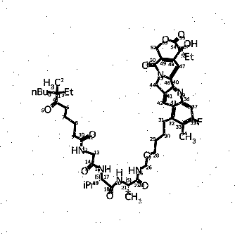 CCCCC(C)(CC)C(=O)CCCCC(=O)NCC(=O)N[C@H](C(=O)N[C@@H](C)C(=O)NCOCCCCc1c(C)c(F)cc2nc3c(cc12)Cn1c-3cc2c(c1=O)COC(=O)[C@]2(O)CC)C(C)C